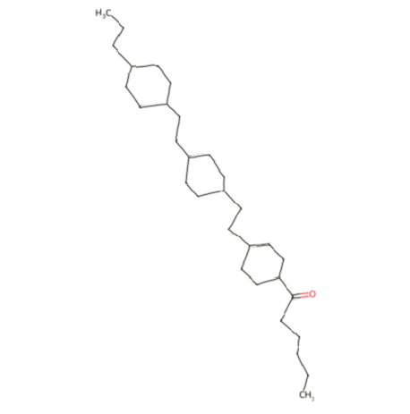 CCCCCC(=O)C1CCC(CCC2CCC(CCC3CCC(CCC)CC3)CC2)CC1